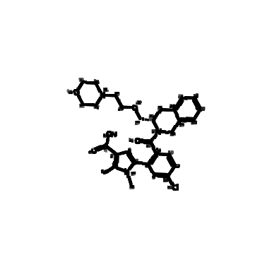 Cc1c(C(=O)O)cc(-c2cc(Cl)ccc2C(=O)N2Cc3ccccc3C[C@H]2COCCN2CCOCC2)n1C